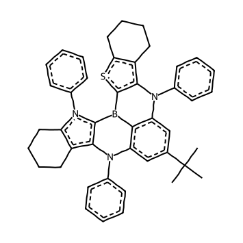 CC(C)(C)c1cc2c3c(c1)N(c1ccccc1)c1c4c(n(-c5ccccc5)c1B3c1sc3c(c1N2c1ccccc1)CCCC3)CCCC4